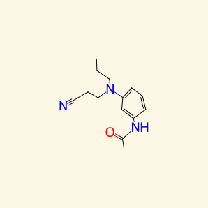 CCCN(CCC#N)c1cccc(NC(C)=O)c1